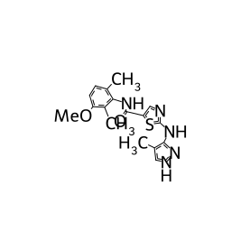 COc1ccc(C)c(NC(=O)c2cnc(Nc3n[nH]cc3C)s2)c1C